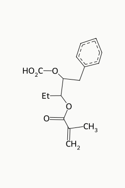 C=C(C)C(=O)OC(CC)C(Cc1ccccc1)OC(=O)O